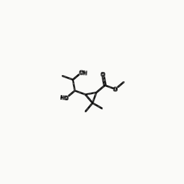 COC(=O)C1C(C(O)C(C)O)C1(C)C